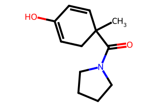 CC1(C(=O)N2CCCC2)C=CC(O)=CC1